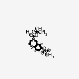 CC(C)(C)OC(=O)N1CCSc2ccc(OS(C)(=O)=O)cc2C1